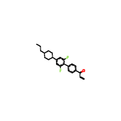 C=CC(=O)c1ccc(-c2c(F)cc(C3CCC(CCC)CC3)cc2F)cc1